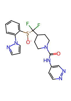 O=C(Nc1ccnnc1)N1CCC(C(F)(F)[S+]([O-])c2ccccc2-n2cccn2)CC1